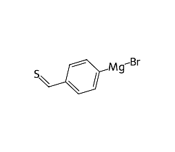 S=Cc1cc[c]([Mg][Br])cc1